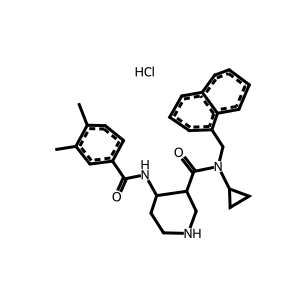 Cc1ccc(C(=O)NC2CCNCC2C(=O)N(Cc2cccc3ccccc23)C2CC2)cc1C.Cl